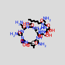 CCCCCCCC(=O)N[C@@H](CCN)C(=O)N[C@H](C(=O)N[C@H](CO)C(=O)N[C@H]1CCNC(=O)[C@H](C(C)O)NC(=O)[C@H](CCCN)NC(=O)[C@H](CCN)NC(=O)[C@H](C(C)O)NC(=O)[C@@H](CC(C)C)CC(=O)[C@H](CCN)NC1=O)C(C)O